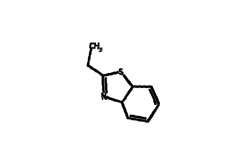 CCC1=NC2C=CC=CC2S1